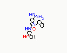 CC1(O)CCC(NC(=O)c2cc3ccc(C(=N)N)cc3n2Cc2cccc3ccccc23)CC1